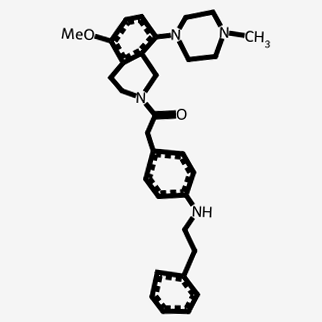 COc1ccc(N2CCN(C)CC2)c2c1CCN(C(=O)Cc1ccc(NCCc3ccccc3)cc1)C2